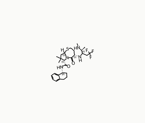 CN[C@@H](C)C(CC(F)(F)F)N[C@H]1CCS[C@H]2CC(C)(C)[C@@H](C(=O)N[C@@H]3CCCc4ccccc43)N2C1=O